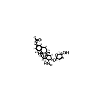 CN[C@H]1[C@H](OC(=O)/C=C\C(=O)O)C[C@H]2[C@@H]3CCc4cc(OC(C)=O)ccc4[C@H]3CC[C@@]21C